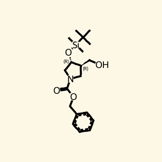 CC(C)(C)[Si](C)(C)O[C@H]1CN(C(=O)OCc2ccccc2)C[C@@H]1CO